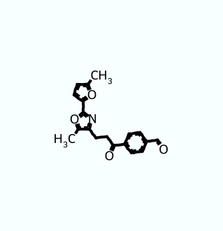 Cc1ccc(-c2nc(CCC(=O)c3ccc(C=O)cc3)c(C)o2)o1